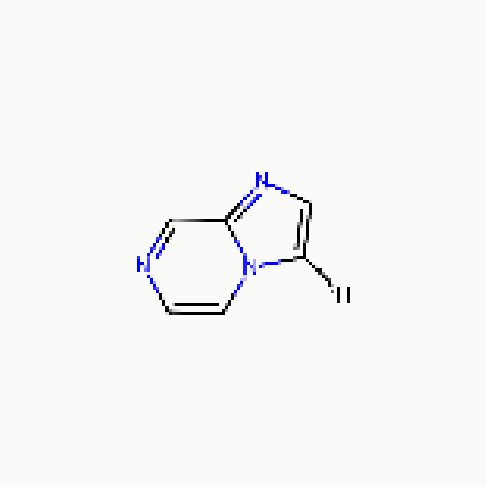 [2H]c1cnc2cnccn12